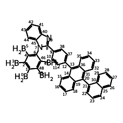 Bc1c(B)c(B)c(-n2c(-c3ccc(-c4c5ccccc5c(-c5cccc6ccccc56)c5ccccc45)cc3)nc3ccccc32)c(B)c1B